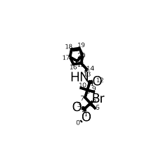 COC(=O)C(C)(Br)CC(C)(C)C(=O)NCC1CC2C=CC1C2